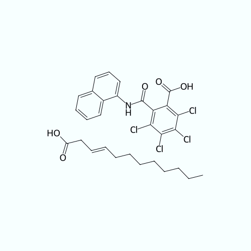 CCCCCCCCC=CCC(=O)O.O=C(O)c1c(Cl)c(Cl)c(Cl)c(Cl)c1C(=O)Nc1cccc2ccccc12